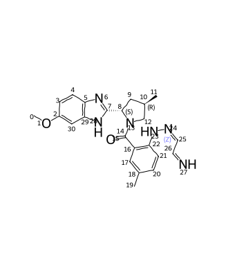 COc1ccc2nc([C@@H]3C[C@@H](C)CN3C(=O)c3cc(C)ccc3N/N=C\C=N)[nH]c2c1